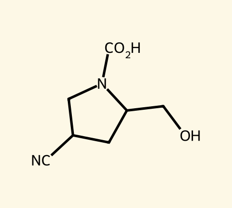 N#CC1CC(CO)N(C(=O)O)C1